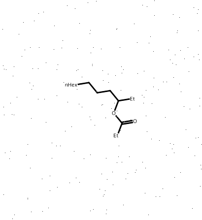 CCCCCCCCCC(CC)OC(=O)CC